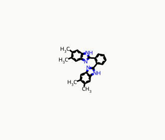 Cc1cc2nc(-c3ccccc3-c3nc4cc(C)c(C)cc4[nH]3)[nH]c2cc1C